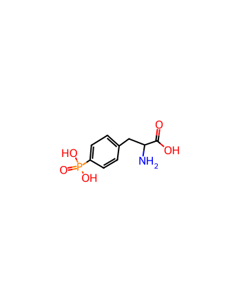 NC(Cc1ccc(P(=O)(O)O)cc1)C(=O)O